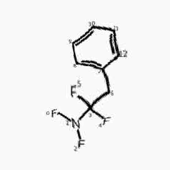 FN(F)C(F)(F)Cc1ccccc1